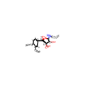 CCOC(=O)Nc1oc(-c2ccc(OC)c(OC)c2)c(O)c1O